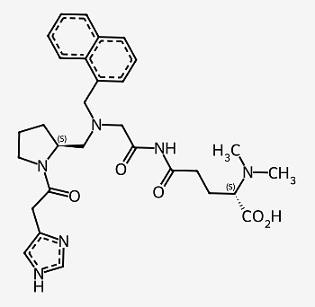 CN(C)[C@@H](CCC(=O)NC(=O)CN(Cc1cccc2ccccc12)C[C@@H]1CCCN1C(=O)Cc1c[nH]cn1)C(=O)O